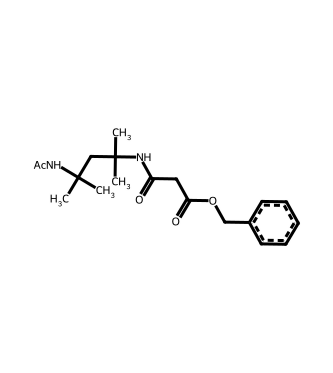 CC(=O)NC(C)(C)CC(C)(C)NC(=O)CC(=O)OCc1ccccc1